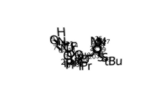 [2H]C[C@H]1O[C@@H](N2C=CC(=O)NC2=C)C(F)[C@H]1OP(OCCc1cc2ncn(C)c2cc1SSC(C)(C)C)N(C(C)C)C(C)C